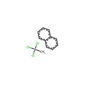 C[Si](Cl)(Cl)Cl.c1ccc2ccccc2c1